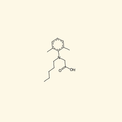 CCCCCN(CC(=O)O)c1c(C)cccc1C